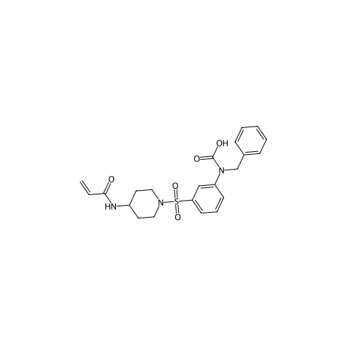 C=CC(=O)NC1CCN(S(=O)(=O)c2cccc(N(Cc3ccccc3)C(=O)O)c2)CC1